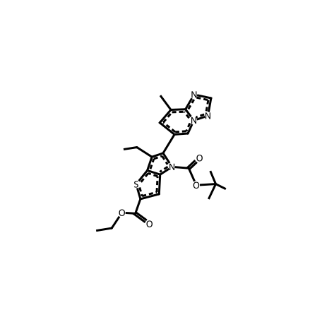 CCOC(=O)c1cc2c(s1)c(CC)c(-c1cc(C)c3ncnn3c1)n2C(=O)OC(C)(C)C